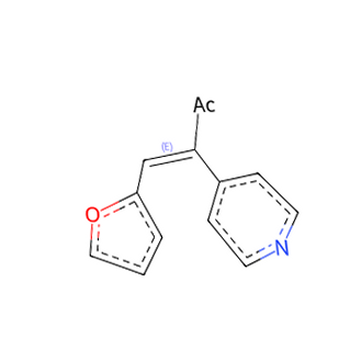 CC(=O)/C(=C/c1ccco1)c1ccncc1